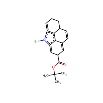 CC(C)(C)OC(=O)C1C=C2C=CC3CCC=c4c3c2c(n4Br)=C1